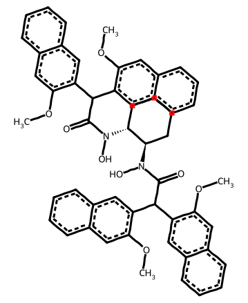 COc1cc2ccccc2cc1C(C(=O)N(O)[C@@H]1CCCC[C@H]1N(O)C(=O)C(c1cc2ccccc2cc1OC)c1cc2ccccc2cc1OC)c1cc2ccccc2cc1OC